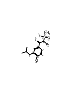 CC(C)Cc1cc(C(=O)C(Br)S(N)(=O)=O)ccc1Cl